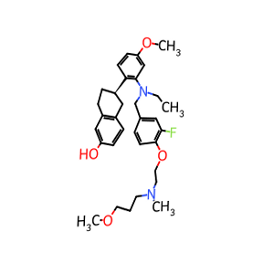 CCN(Cc1ccc(OCCN(C)CCCOC)c(F)c1)c1cc(OC)ccc1[C@@H]1CCc2cc(O)ccc2C1